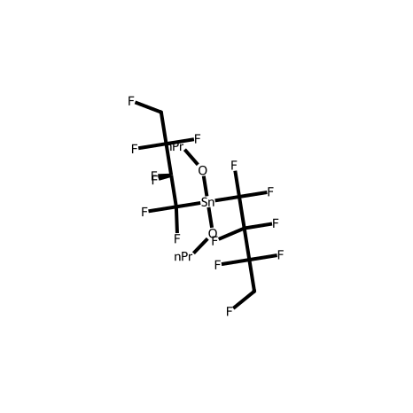 CCC[O][Sn]([O]CCC)([C](F)(F)C(F)(F)C(F)(F)CF)[C](F)(F)C(F)(F)C(F)(F)CF